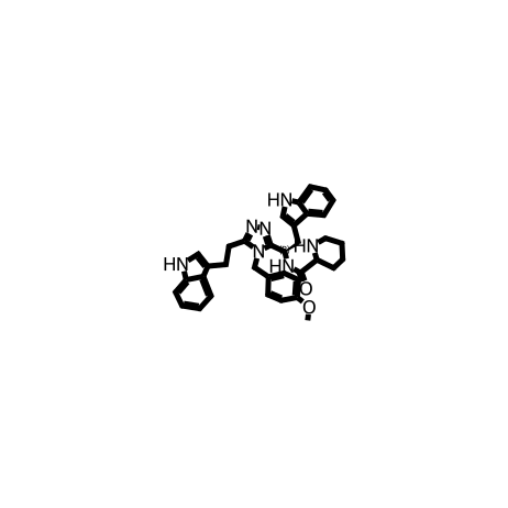 COc1ccc(Cn2c(CCc3c[nH]c4ccccc34)nnc2[C@@H](Cc2c[nH]c3ccccc23)NC(=O)C2CCCCN2)cc1